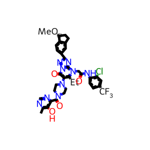 CCc1c(N2CCN(C(=O)c3ncnc(C)c3O)CC2)c(=O)n2nc(-c3ccc4c(c3)CC[C@@H]4OC)nc2n1CC(=O)Nc1ccc(C(F)(F)F)cc1Cl